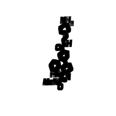 CNC(=O)c1cnc2ccc(-c3ccc(C(=O)NCCN4CCC(N)CC4)cc3)cc2c1Nc1ccccc1